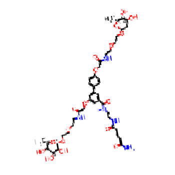 C[C@@H]1O[C@@H](OCCOCCNC(=O)COc2cc(C(=O)NCCNC(=O)CCCC(N)=O)cc(-c3ccc(OCC(=O)NCCOCCO[C@H]4C[C@H](O)[C@@H](O)[C@H](C)O4)cc3)c2)[C@H](O)[C@H](O)[C@H]1O